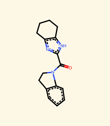 O=C(c1nc2c([nH]1)CCCC2)N1CCc2ccccc21